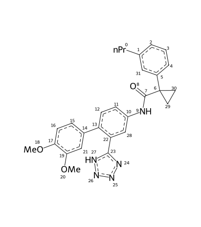 CCCc1cccc(C2(C(=O)Nc3ccc(-c4ccc(OC)c(OC)c4)c(-c4nnn[nH]4)c3)CC2)c1